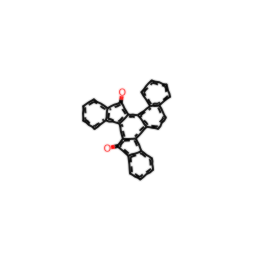 O=c1c2ccccc2c2c1c1c3ccccc3ccc1c1c3ccccc3c(=O)c12